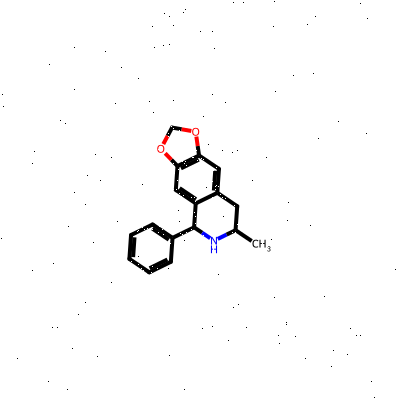 CC1Cc2cc3c(cc2C(c2ccccc2)N1)OCO3